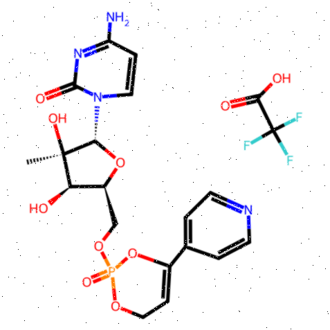 C[C@@]1(O)[C@H](O)[C@H](COP2(=O)OCC=C(c3ccncc3)O2)O[C@H]1n1ccc(N)nc1=O.O=C(O)C(F)(F)F